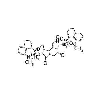 CN(C)c1cccc2cccc(S(=O)(=O)OC3C4C(=O)CC5=C(C(=O)N(OS(=O)(=O)c6cccc7cccc(N(C)C)c67)C5=O)C4=C[N+]3=O)c12